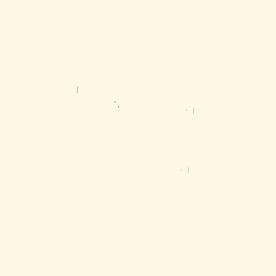 Cc1cccc2c1c(C)cn2C